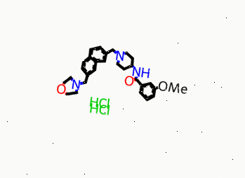 COc1cccc(C(=O)NC2CCN(Cc3ccc4ccc(CN5CCOCC5)cc4c3)CC2)c1.Cl.Cl